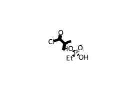 C=C(C)C(=O)Cl.CCP(=O)(O)O